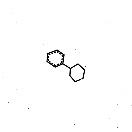 [c]1ccccc1C1CC[CH]CC1